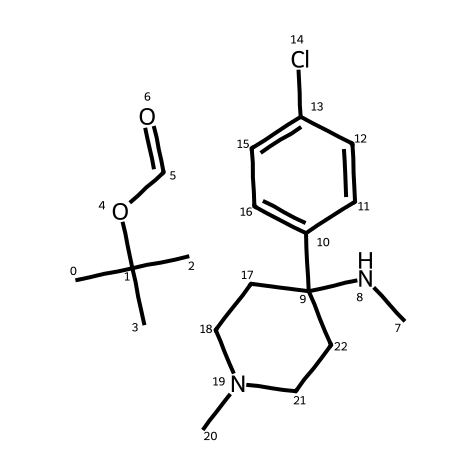 CC(C)(C)OC=O.CNC1(c2ccc(Cl)cc2)CCN(C)CC1